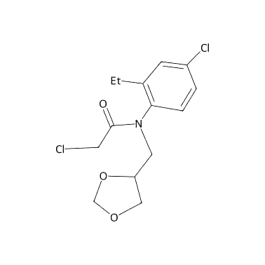 CCc1cc(Cl)ccc1N(CC1COCO1)C(=O)CCl